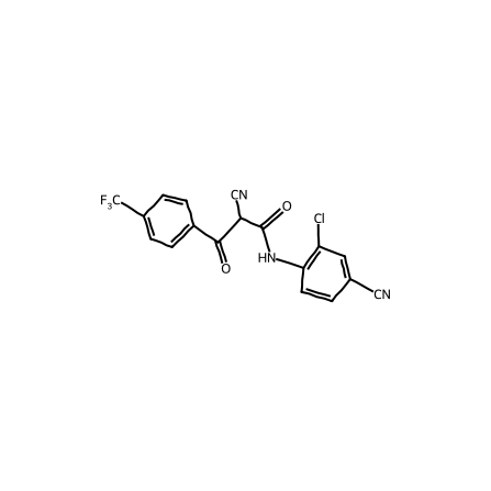 N#Cc1ccc(NC(=O)C(C#N)C(=O)c2ccc(C(F)(F)F)cc2)c(Cl)c1